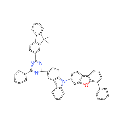 CC1(C)c2ccccc2-c2ccc(-c3nc(-c4ccccc4)nc(-c4ccc5c(c4)c4ccccc4n5-c4ccc5c(c4)oc4c(-c6ccccc6)cccc45)n3)cc21